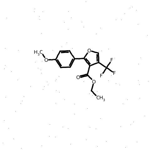 CCOC(=O)c1c(C(F)(F)F)coc1-c1ccc(OC)cc1